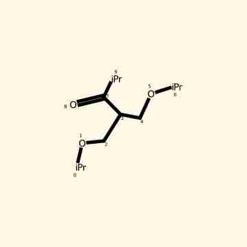 CC(C)OCC(COC(C)C)C(=O)C(C)C